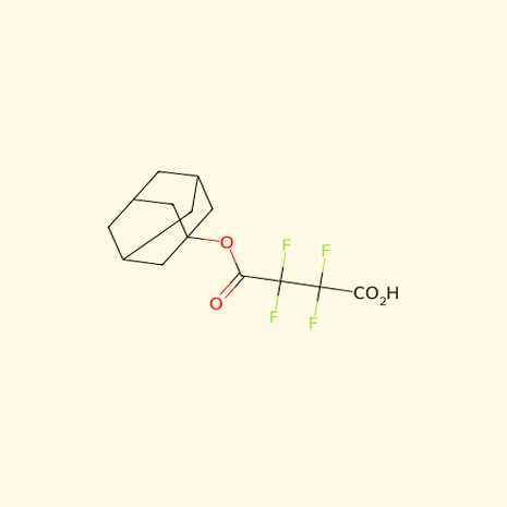 O=C(O)C(F)(F)C(F)(F)C(=O)OC12CC3CC(CC(C3)C1)C2